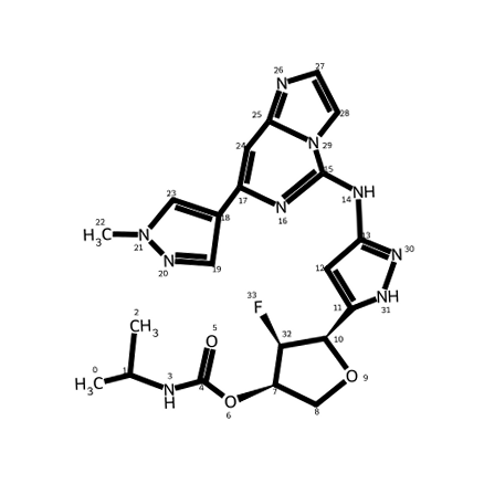 CC(C)NC(=O)O[C@@H]1CO[C@H](c2cc(Nc3nc(-c4cnn(C)c4)cc4nccn34)n[nH]2)[C@@H]1F